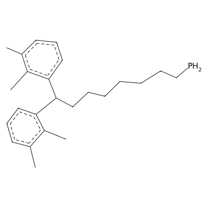 Cc1cccc(C(CCCCCCCP)c2cccc(C)c2C)c1C